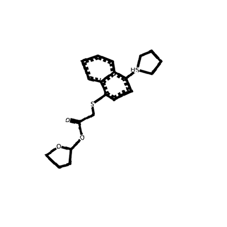 O=C(CSc1ccc([SH]2CCCC2)c2ccccc12)OC1CCCO1